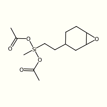 CC(=O)O[Si](C)(CCC1CCC2OC2C1)OC(C)=O